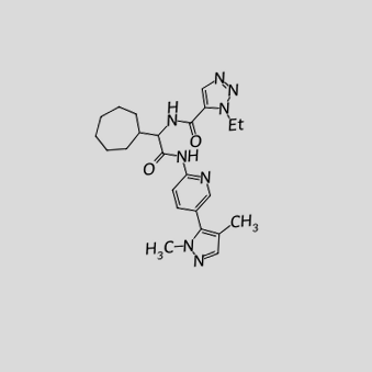 CCn1nncc1C(=O)NC(C(=O)Nc1ccc(-c2c(C)cnn2C)cn1)C1CCCCCC1